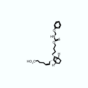 O=C(O)CCC/C=C\C[C@@H]1[C@H](CCCCOC(=S)NCOc2ccccc2)[C@@H]2CC[C@H]1O2